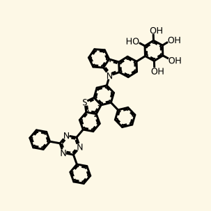 Oc1c(O)c(O)c(-c2ccc3c(c2)c2ccccc2n3-c2cc(-c3ccccc3)c3c(c2)sc2cc(-c4nc(-c5ccccc5)nc(-c5ccccc5)n4)ccc23)c(O)c1O